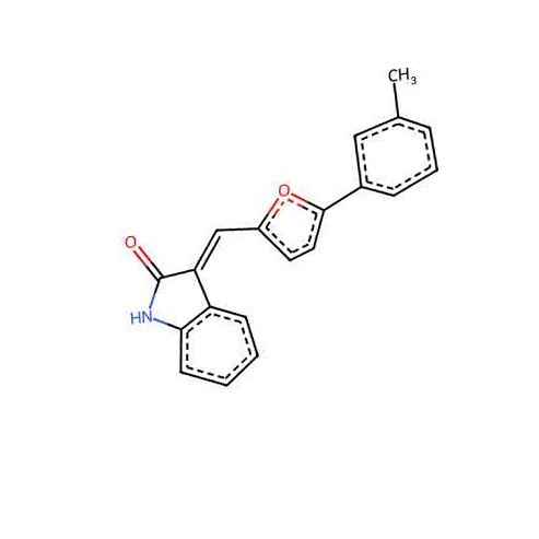 Cc1cccc(-c2ccc(/C=C3/C(=O)Nc4ccccc43)o2)c1